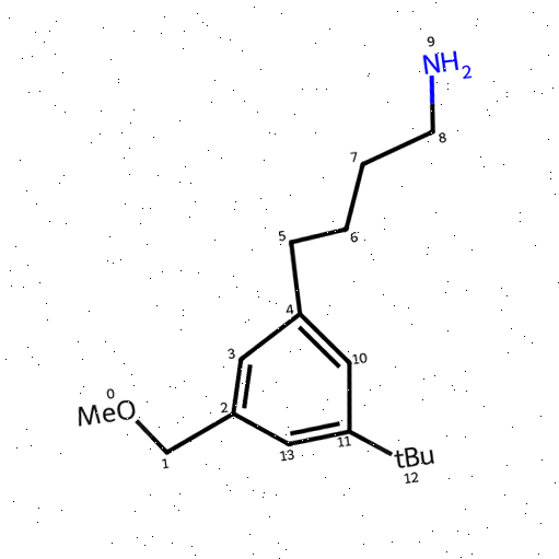 COCc1cc(CCCCN)cc(C(C)(C)C)c1